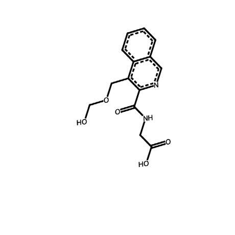 O=C(O)CNC(=O)c1ncc2ccccc2c1COCO